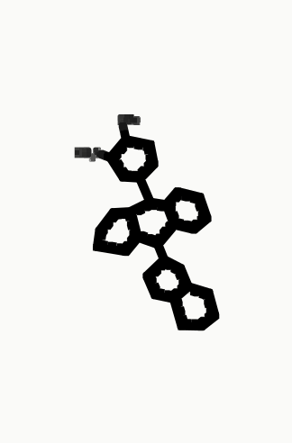 CSc1ccc(-c2c3ccccc3c(-c3ccc4ccccc4c3)c3ccccc23)cc1S(=O)(=O)O